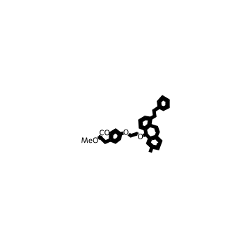 COC(Cc1ccc(OCCOC2c3cc(C)ccc3C=Cc3c(CCc4ccccc4)cccc32)cc1)C(=O)O